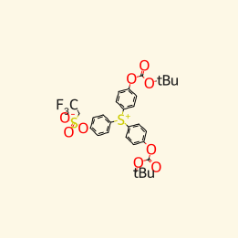 CC(C)(C)OC(=O)Oc1ccc([S+](c2ccccc2)c2ccc(OC(=O)OC(C)(C)C)cc2)cc1.O=S(=O)([O-])CC(F)(F)F